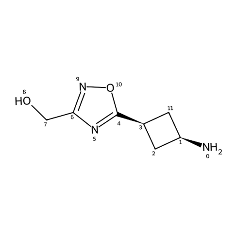 N[C@H]1C[C@@H](c2nc(CO)no2)C1